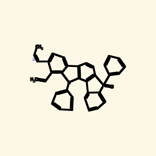 C=Cc1c(/C=C\C)ccc2c3ccc4c(c3n(-c3ccccc3)c12)-c1ccccc1P4(=O)c1ccccc1